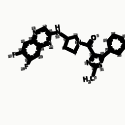 Cc1nc(C(=O)N2CCC(Nc3cnc4cc(F)c(F)cc4n3)C2)c(-c2ccccc2)s1